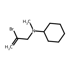 C=C(Br)CN(C)C1CCCCC1